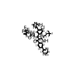 CC(C)(C)CCNC(=N)C(C(=O)c1ccc(-c2cnccn2)cc1)[C@H](COC(=O)NC1(C(F)(F)F)CC1)c1ccc(Cl)c(-c2ncn[nH]2)c1